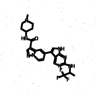 CC(Nc1ncc2c(-c3ccn4ncc(C(=O)NC5CCN(C)CC5)c4c3)c[nH]c2n1)C(F)(F)F